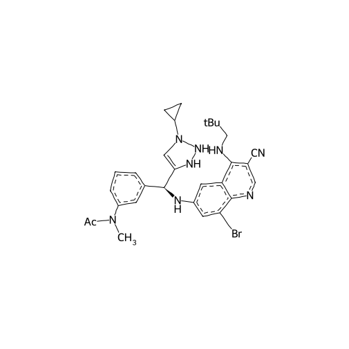 CC(=O)N(C)c1cccc([C@H](Nc2cc(Br)c3ncc(C#N)c(NCC(C)(C)C)c3c2)C2=CN(C3CC3)NN2)c1